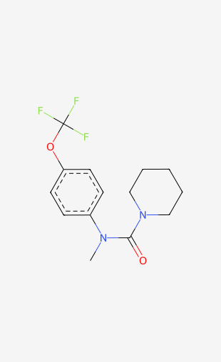 CN(C(=O)N1CCCCC1)c1ccc(OC(F)(F)F)cc1